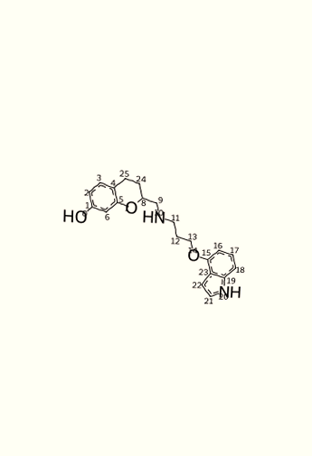 Oc1ccc2c(c1)OC(CNCCCOc1cccc3[nH]ccc13)CC2